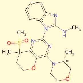 CNc1nc2ccccc2n1-c1nc(N2CCOC[C@H]2C)c2c(n1)C(C)(S(C)(=O)=O)CCO2